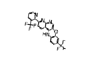 FC(F)(F)c1ccc2c(c1)Oc1cnc3nc(-c4ncccc4C(F)(F)F)ccc3c1N2